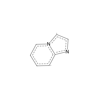 [c]1cccn2[c]cnc12